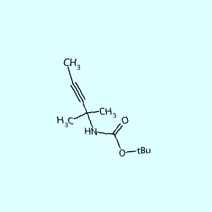 CC#CC(C)(C)NC(=O)OC(C)(C)C